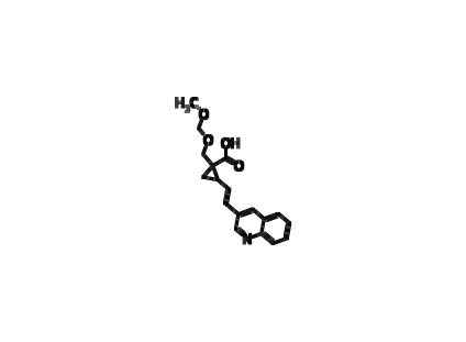 COCOCC1(C(=O)O)CC1C=Cc1cnc2ccccc2c1